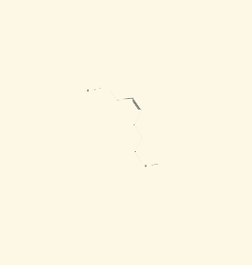 CCCCCCCC/C=C\CCCCCCCCCC